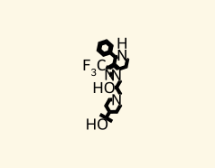 CC(C)(O)C1CCN(CC(O)Cn2nc(C(F)(F)F)c3c2CCNC3c2ccccc2)CC1